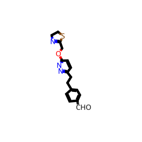 O=Cc1ccc(CCc2ccc(OCC3=NCCS3)nn2)cc1